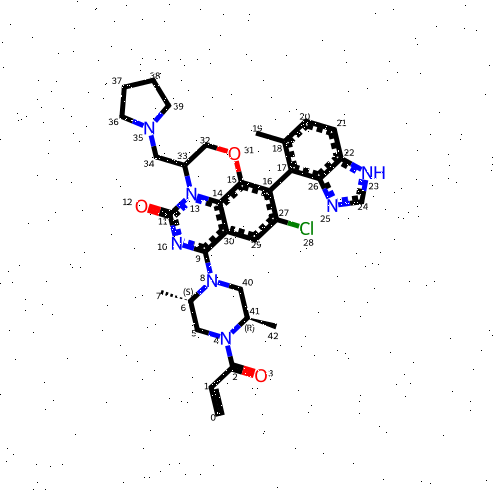 C=CC(=O)N1C[C@H](C)N(c2nc(=O)n3c4c(c(-c5c(C)ccc6[nH]cnc56)c(Cl)cc24)OCC3CN2CCCC2)C[C@H]1C